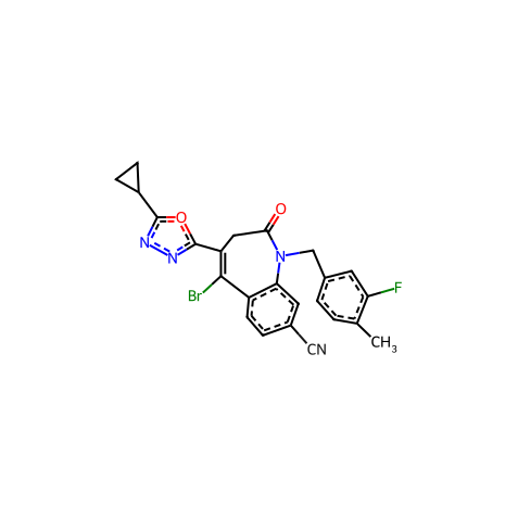 Cc1ccc(CN2C(=O)CC(c3nnc(C4CC4)o3)=C(Br)c3ccc(C#N)cc32)cc1F